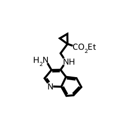 CCOC(=O)C1(CNc2c(N)cnc3ccccc23)CC1